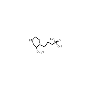 O=C(O)C1CNCCN1CCCP(=O)(O)O